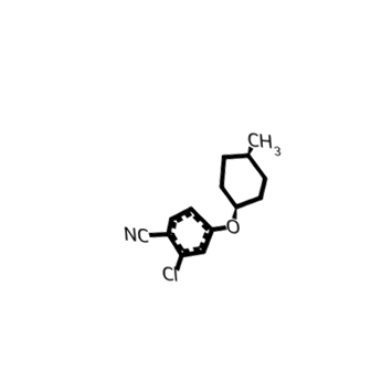 C[C@H]1CC[C@@H](Oc2ccc(C#N)c(Cl)c2)CC1